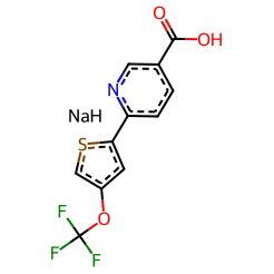 O=C(O)c1ccc(-c2cc(OC(F)(F)F)cs2)nc1.[NaH]